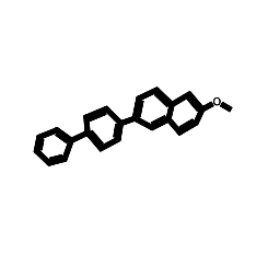 COc1ccc2cc(-c3ccc(-c4ccccc4)cc3)ccc2c1